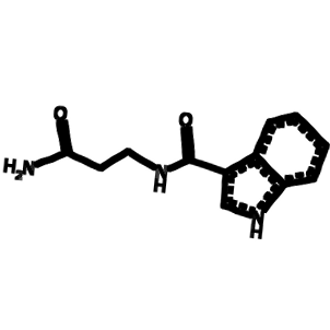 NC(=O)CCNC(=O)c1c[nH]c2ccccc12